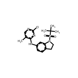 Cc1cnc(Cl)nc1Nc1ccc2c(c1)N(S(=O)(=O)C(C)(C)C)CC2